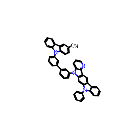 N#Cc1ccc2c(c1)c1ccccc1n2-c1cccc(-c2cccc(-n3c4cc5c(cc4c4ncccc43)c3ccccc3n5-c3ccccc3)c2)c1